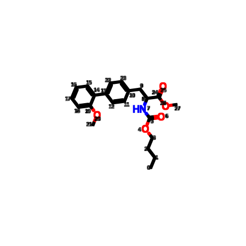 CCCCOC(=O)NC(Cc1ccc(-c2ccccc2OC)cc1)C(=O)OC